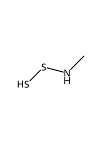 CNSS